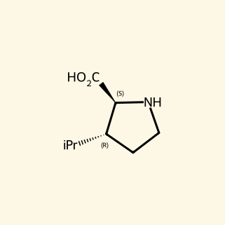 CC(C)[C@H]1CCN[C@@H]1C(=O)O